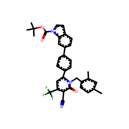 Cc1ccc(Cn2c(-c3ccc(-c4ccc5ccn(C(=O)OC(C)(C)C)c5c4)cc3)cc(C(F)(F)F)c(C#N)c2=O)c(C)c1